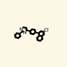 Clc1cc(-c2ccc(-c3ccnc(-c4ccccc4)n3)cc2)c2ccccc2c1